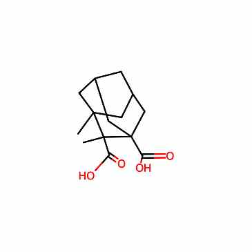 CC12CC3CC(C1)CC(C(=O)O)(C3)C2(C)C(=O)O